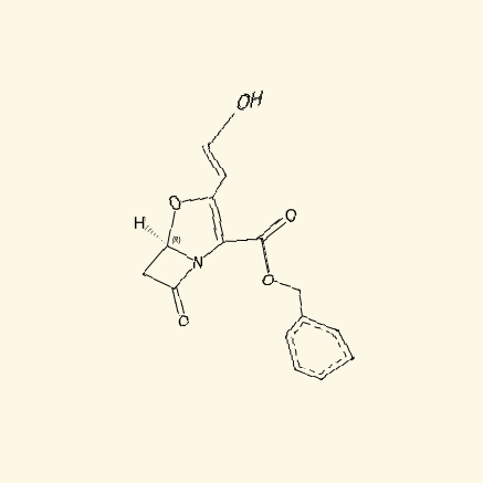 O=C(OCc1ccccc1)C1=C(C=CO)O[C@@H]2CC(=O)N12